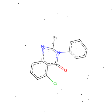 CCc1nc2cccc(Cl)c2c(=O)n1-c1ccccc1